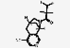 CC(C)(C(=O)N1C[C@H]2Cc3c(C#N)cncc3[C@@H]1C2)C(F)F